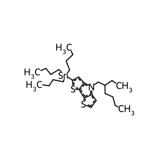 CCCCC(CC)Cn1c2ccsc2c2s[c]([Sn]([CH2]CCC)([CH2]CCC)[CH2]CCC)cc21